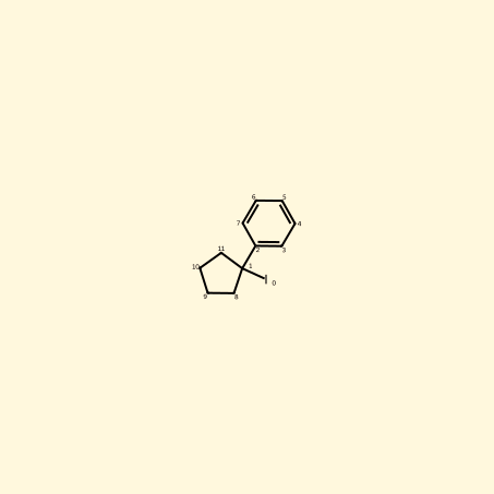 IC1(c2ccccc2)CCCC1